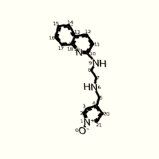 [O-][n+]1ccc(CNCCNc2ccc3[c]cccc3n2)cc1